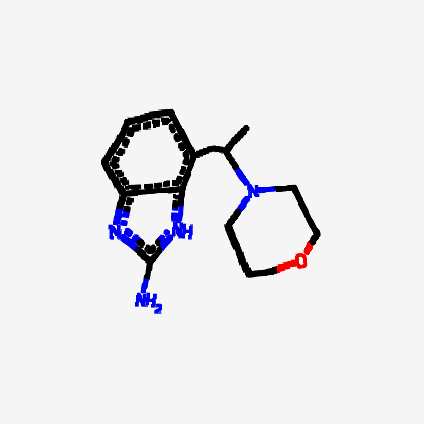 CC(c1cccc2nc(N)[nH]c12)N1CCOCC1